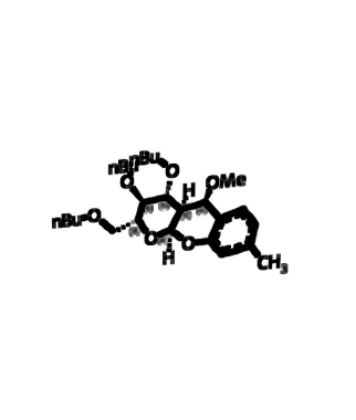 CCCCOC[C@H]1O[C@@H]2Oc3cc(C)ccc3[C@H](OC)[C@@H]2[C@@H](OCCCC)[C@@H]1OCCCC